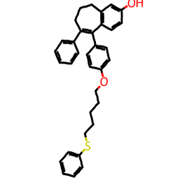 Oc1ccc2c(c1)CCCC(c1ccccc1)=C2c1ccc(OCCCCCSc2ccccc2)cc1